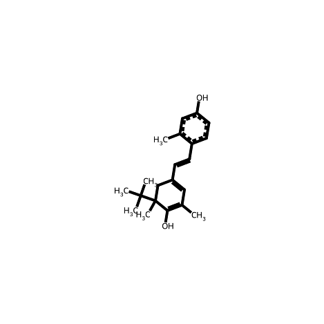 CC1=C(O)C(C)(C(C)(C)C)CC(C=Cc2ccc(O)cc2C)=C1